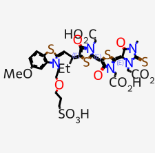 CC/C(C=C1Sc2ccc(OC)cc2N1CCOCCCS(=O)(=O)O)=c1\s/c(=c2/s/c(=C3\C(=O)N(C)C(=S)N3CC(=O)O)n(CC(=O)O)c2=O)n(CC(=O)O)c1=O